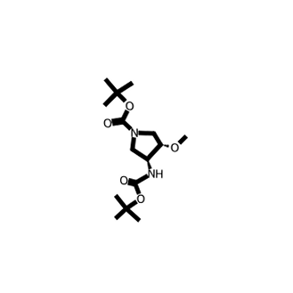 CO[C@H]1CN(C(=O)OC(C)(C)C)C[C@@H]1NC(=O)OC(C)(C)C